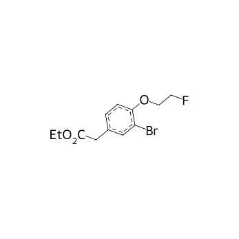 CCOC(=O)Cc1ccc(OCCF)c(Br)c1